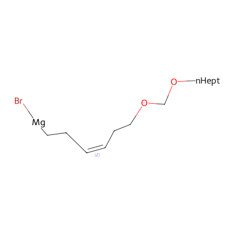 CCCCCCCOCOCC/C=C\C[CH2][Mg][Br]